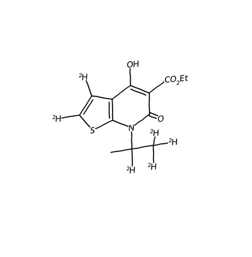 [2H]c1sc2c(c1[2H])c(O)c(C(=O)OCC)c(=O)n2C([2H])(C)C([2H])([2H])[2H]